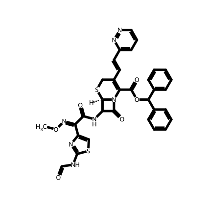 CO/N=C(/C(=O)NC1C(=O)N2C(C(=O)OC(c3ccccc3)c3ccccc3)=C(/C=C/c3cccnn3)CS[C@H]12)c1csc(NC=O)n1